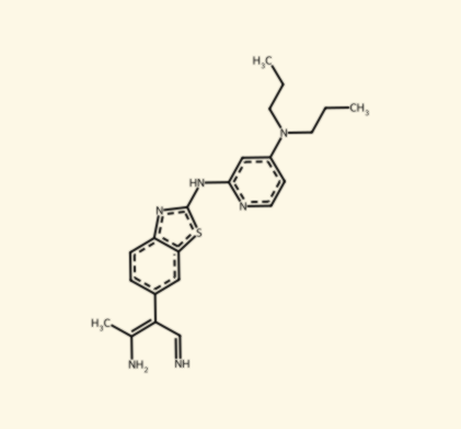 CCCN(CCC)c1ccnc(Nc2nc3ccc(/C(C=N)=C(\C)N)cc3s2)c1